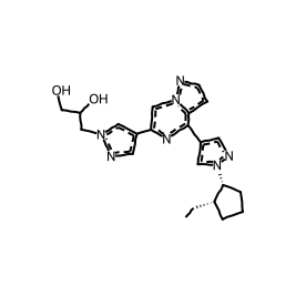 CC[C@H]1CCC[C@H]1n1cc(-c2nc(-c3cnn(CC(O)CO)c3)cn3nccc23)cn1